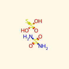 NS(N)(=O)=O.O=S(O)(O)=S